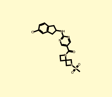 CS(=O)(=O)N1CC2(CCN2C(=O)c2cnc(NC3Cc4ccc(Cl)cc4C3)nc2)C1